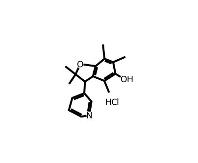 Cc1c(C)c2c(c(C)c1O)C(c1cccnc1)C(C)(C)O2.Cl